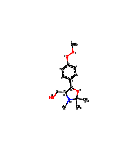 CSOOc1ccc([C@H]2OC(C)(C)N(C(C)=O)[C@@H]2CO)cc1